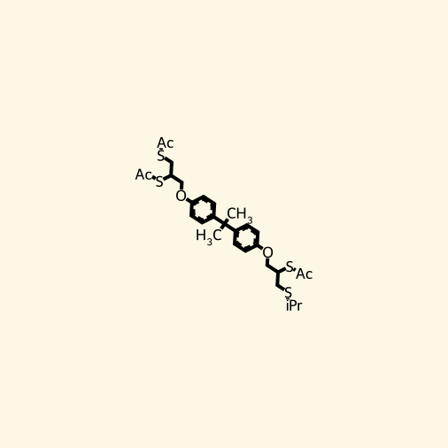 CC(=O)SCC(COc1ccc(C(C)(C)c2ccc(OCC(CSC(C)C)SC(C)=O)cc2)cc1)SC(C)=O